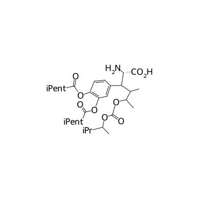 CCCC(C)C(=O)Oc1ccc(C(C(C)C(C)OC(=O)OC(C)C(C)C)[C@H](N)C(=O)O)cc1OC(=O)C(C)CCC